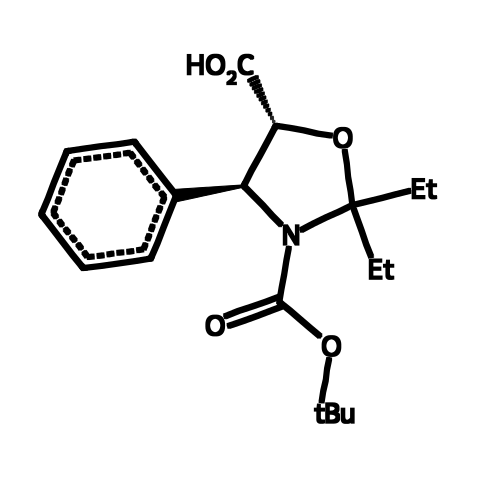 CCC1(CC)O[C@@H](C(=O)O)[C@H](c2ccccc2)N1C(=O)OC(C)(C)C